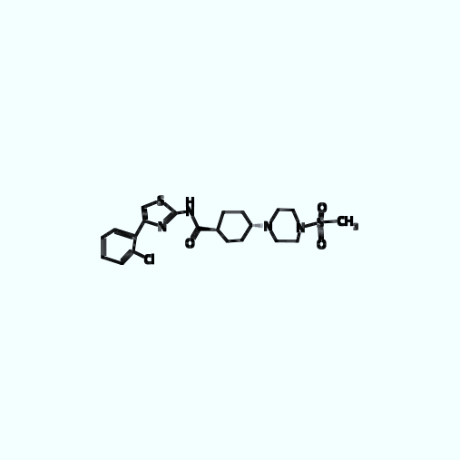 CS(=O)(=O)N1CCN([C@H]2CC[C@H](C(=O)Nc3nc(-c4ccccc4Cl)cs3)CC2)CC1